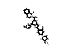 C[C@@H]1c2ccccc2CCN1C(=O)c1cc(-c2cnn(C)n2)n2nc(-c3ccc(N4CC[C@H](N)C4)cc3F)cc2n1